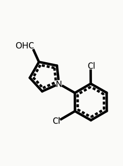 O=Cc1ccn(-c2c(Cl)cccc2Cl)c1